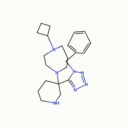 c1ccc(Cn2nnnc2C2(N3CCCN(C4CCC4)CC3)CCCNC2)cc1